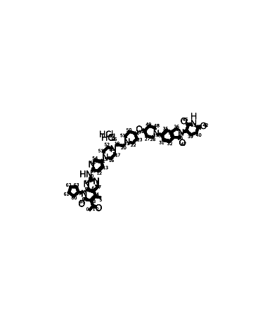 CC(=O)c1c(C)c2cnc(Nc3ccc(N4CCN(CCN5CCC(OC6CCN(c7ccc8c(c7)CN(C7CCC(=O)NC7=O)C8=O)CC6)CC5)CC4)cn3)nc2n(C2CCCC2)c1=O.Cl.Cl